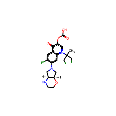 CC(CF)(CF)n1cc(OC(=O)O)c(=O)c2cc(F)c(N3C[C@@H]4NCCO[C@@H]4C3)cc21